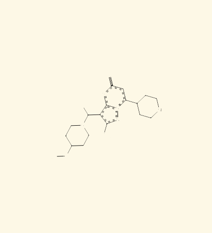 COC1CCN(C(O)c2c(C)nn3c(C4CCNCC4)cc(=O)[nH]c23)CC1